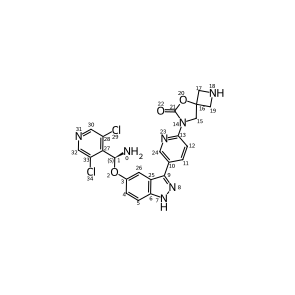 N[C@@H](Oc1ccc2[nH]nc(-c3ccc(N4CC5(CNC5)OC4=O)nc3)c2c1)c1c(Cl)cncc1Cl